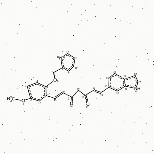 COc1ccc(OCc2ccccn2)c(C=CC(=O)CC(=O)C=Cc2ccc3cc[nH]c3c2)c1